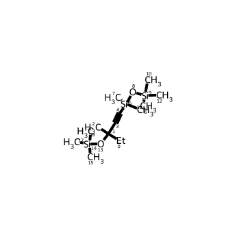 CCC(C)(C#C[Si](C)(C)O[Si](C)(C)C)O[Si](C)(C)C